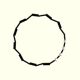 [C]1=C/C=C/C=C/C=C/C=C\C=C\C=C\C=C/C=C/CCCCC/1